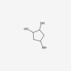 [NH]C1CC(O)C(O)C1